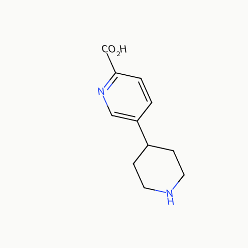 O=C(O)c1ccc(C2CCNCC2)cn1